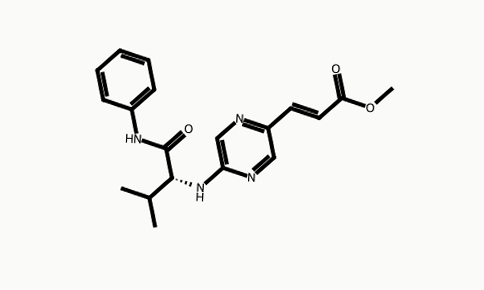 COC(=O)/C=C/c1cnc(N[C@@H](C(=O)Nc2ccccc2)C(C)C)cn1